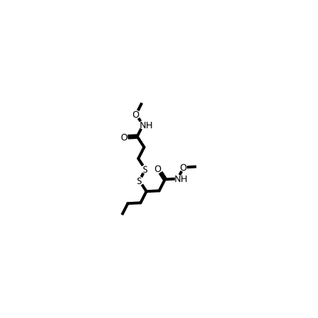 CCCC(CC(=O)NOC)SSCCC(=O)NOC